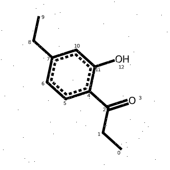 CCC(=O)c1ccc(CC)cc1O